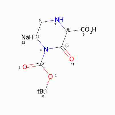 CC(C)(C)OC(=O)N1CCNC(C(=O)O)C1=O.[NaH]